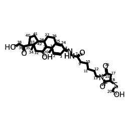 CC12C=C/C(=N\NC(=O)CCCCCN3C(=O)CC(SCO)C3=O)C=C1CCC1C2[C@@H](O)CC2(C)C(C(=O)CO)CCC12